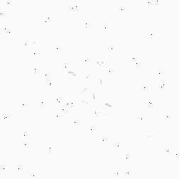 CCCCCCCCCCCCCCC#Cc1c(OC)ccc2c(C#CCCCCCCCCCCCCCC)c(OC)ccc12